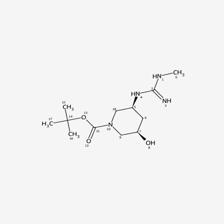 CNC(=N)N[C@H]1C[C@@H](O)CN(C(=O)OC(C)(C)C)C1